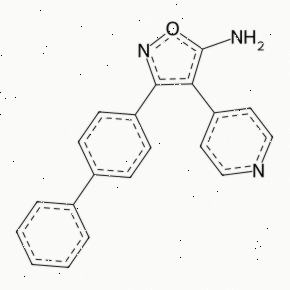 Nc1onc(-c2ccc(-c3ccccc3)cc2)c1-c1ccncc1